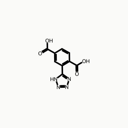 O=C(O)c1ccc(C(=O)O)c(-c2nnn[nH]2)c1